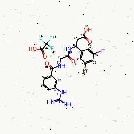 N=C(N)Nc1cccc(C(=O)NCC(=O)NC(CC(=O)O)c2cc(Br)cc(I)c2)c1.O=C(O)C(F)(F)F